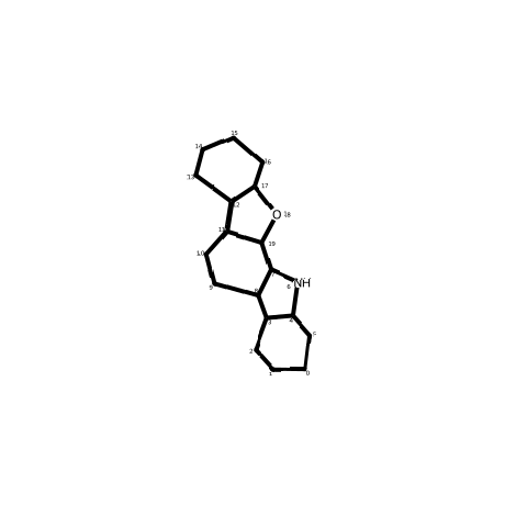 C1CCC2C(C1)NC1C2CCC2C3CCCCC3OC21